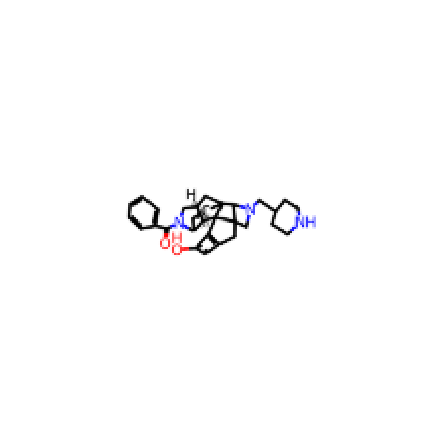 O=C(c1ccccc1)N1C[C@H]2CC34CCC1[C@@H]2C31c2cc(O)ccc2CC12CN(CC1CCNCC1)C42